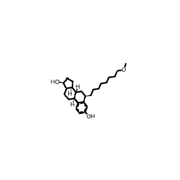 COCCCCCCCC[C@@H]1C[C@@H]2[C@H](CCC3[C@H]2CC[C@@H]3O)c2ccc(O)cc21